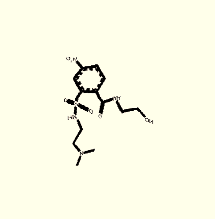 CN(C)CCNS(=O)(=O)c1cc([N+](=O)[O-])ccc1C(=O)NCCO